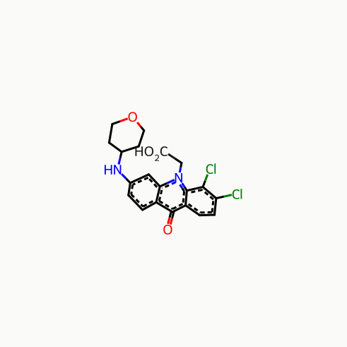 O=C(O)Cn1c2cc(NC3CCOCC3)ccc2c(=O)c2ccc(Cl)c(Cl)c21